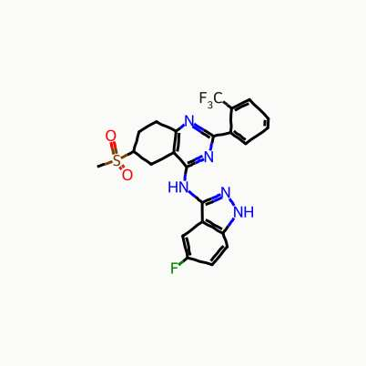 CS(=O)(=O)C1CCc2nc(-c3ccccc3C(F)(F)F)nc(Nc3n[nH]c4ccc(F)cc34)c2C1